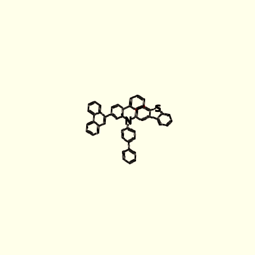 c1ccc(-c2ccc(N(c3ccc4sc5ccccc5c4c3)c3cc(-c4cc5ccccc5c5ccccc45)ccc3-c3ccccc3)cc2)cc1